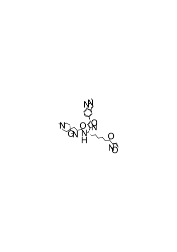 CN1CCC2(CC1)CC(C(=O)N[C@@H](CCCCCC(=O)c1ccon1)c1cc(-c3ccc4nn(C)cc4c3)on1)=NO2